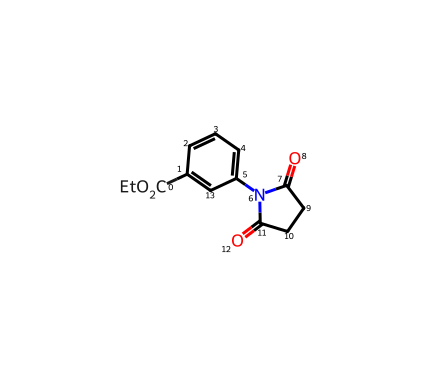 CCOC(=O)c1cccc(N2C(=O)CCC2=O)c1